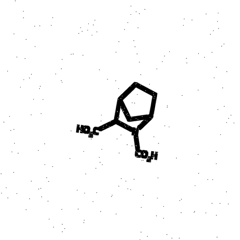 O=C(O)C1C2CCC(C2)N1C(=O)O